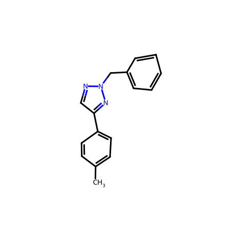 Cc1ccc(-c2cnn(Cc3ccccc3)n2)cc1